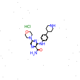 Cl.NC(=O)c1ncc(N2CCOCC2)nc1Nc1ccc(C2CCNCC2)cc1